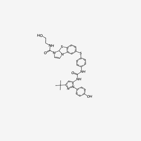 CC(C)(C)c1cc(NC(=O)Nc2ccc(Sc3ccc4c(c3)N3C=CN(C(=O)NCCO)C3S4)cc2)n(-c2ccc(O)cc2)n1